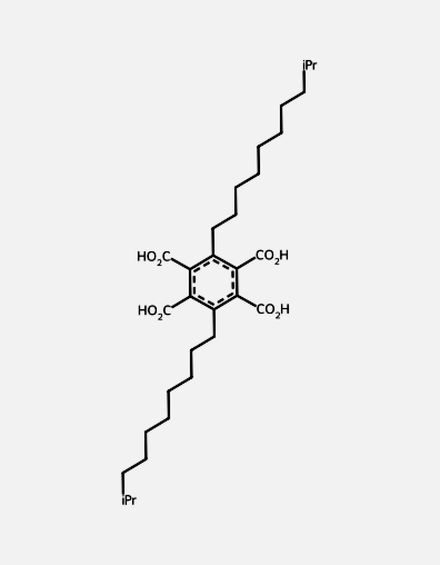 CC(C)CCCCCCCCc1c(C(=O)O)c(C(=O)O)c(CCCCCCCCC(C)C)c(C(=O)O)c1C(=O)O